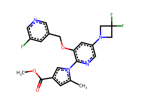 COC(=O)c1cc(C)n(-c2ncc(N3CC(F)(F)C3)cc2OCc2cncc(F)c2)c1